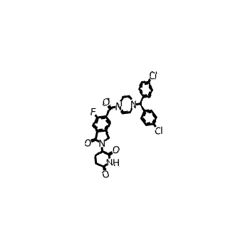 O=C1CCC(N2Cc3cc(C(=O)N4CCN(C(c5ccc(Cl)cc5)c5ccc(Cl)cc5)CC4)c(F)cc3C2=O)C(=O)N1